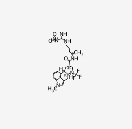 C[C@H](CCCNC(=N)N[N+](=O)[O-])NC(=O)[C@@H]1C[C@@H]2c3cccc4c3c(cn4C)C[C@H]2N(C(F)(F)F)C1